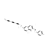 CCc1ccc(N=Nc2c(C)cc3cc(NOC#CC#CC#CCCl)ccc3c2O)cc1C